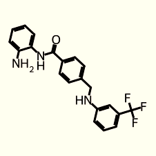 Nc1ccccc1NC(=O)c1ccc(CNc2cccc(C(F)(F)F)c2)cc1